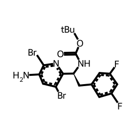 CC(C)(C)OC(=O)N[C@@H](Cc1cc(F)cc(F)c1)c1nc(Br)c(N)cc1Br